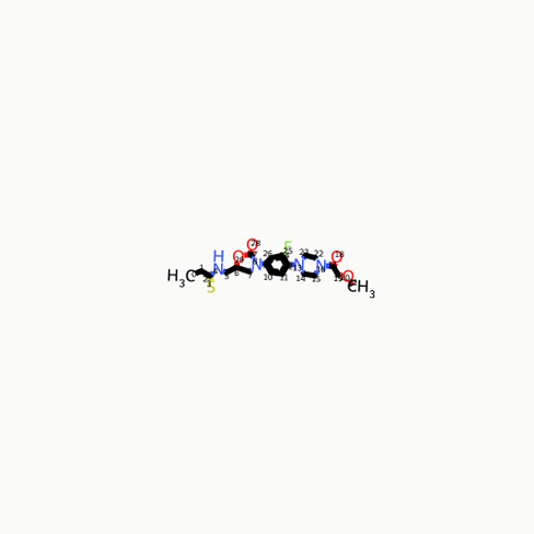 CCC(=S)NCC1CN(c2ccc(N3CCN(C(=O)COC)CC3)c(F)c2)C(=O)O1